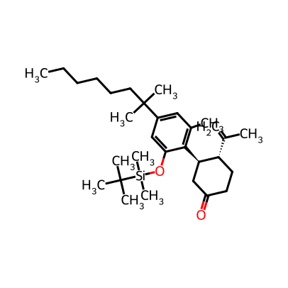 C=C(C)[C@@H]1CCC(=O)C[C@H]1c1c(C)cc(C(C)(C)CCCCCC)cc1O[Si](C)(C)C(C)(C)C